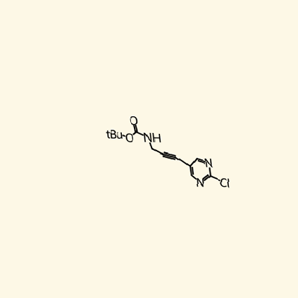 CC(C)(C)OC(=O)NCC#Cc1cnc(Cl)nc1